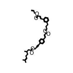 C=CCOC(=O)/C=C/c1cccc(CCCOC(=O)/C=C/c2ccc(C#CCOC(=O)CC(C)CCC=C(C)C)cc2)c1